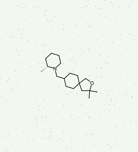 C[C@@H]1CCCCN1CC1CCC2(CC1)COC(C)(C)C2